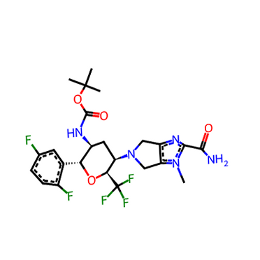 Cn1c(C(N)=O)nc2c1CN([C@@H]1C[C@H](NC(=O)OC(C)(C)C)[C@@H](c3cc(F)ccc3F)O[C@@H]1C(F)(F)F)C2